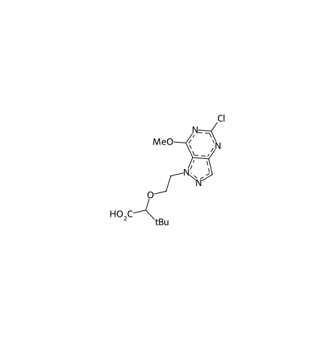 COc1nc(Cl)nc2cnn(CCOC(C(=O)O)C(C)(C)C)c12